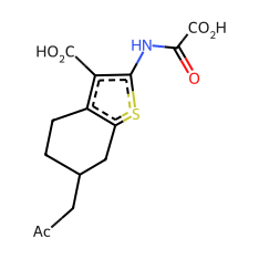 CC(=O)CC1CCc2c(sc(NC(=O)C(=O)O)c2C(=O)O)C1